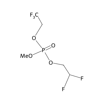 COP(=O)(OCC(F)F)OCC(F)(F)F